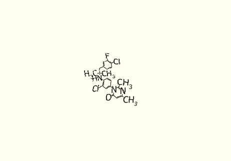 Cc1cc(=O)n(-c2ccc(NC(C)(C)Cc3ccc(Cl)c(F)c3)c(Cl)c2)c(C)n1